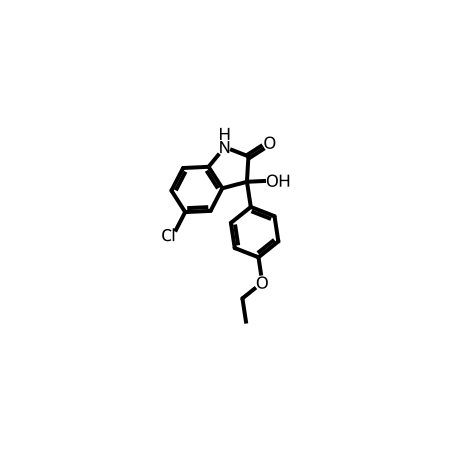 CCOc1ccc(C2(O)C(=O)Nc3ccc(Cl)cc32)cc1